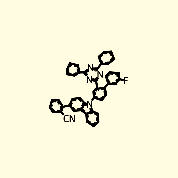 N#Cc1ccccc1-c1ccc2c(c1)c1ccccc1n2-c1ccc(-c2cccc(F)c2)c(-c2nc(-c3ccccc3)nc(-c3ccccc3)n2)c1